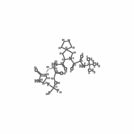 CC(C)(C)NC(=O)C(=O)N1CC2(CCCC2)CC1C(=O)N[C@@H](C[C@@H]1CCNC1=O)C(=O)COC(F)(F)F